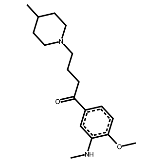 CNc1cc(C(=O)CCCN2CCC(C)CC2)ccc1OC